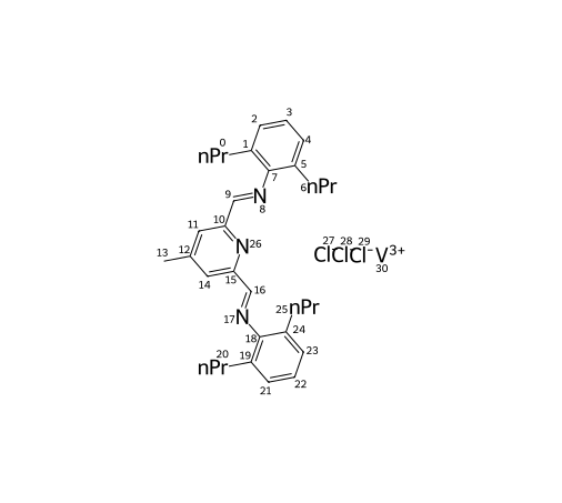 CCCc1cccc(CCC)c1N=Cc1cc(C)cc(C=Nc2c(CCC)cccc2CCC)n1.[Cl-].[Cl-].[Cl-].[V+3]